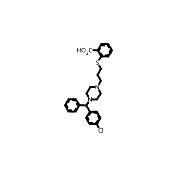 O=C(O)c1ccccc1SCCCN1CCN(C(c2ccccc2)c2ccc(Cl)cc2)CC1